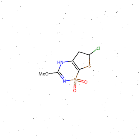 COC1=NS(=O)(=O)C2=C(CC(Cl)S2)N1